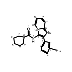 O=C(Nc1c(-c2cccc(F)c2)nc2ccccn12)C1CCCCC1